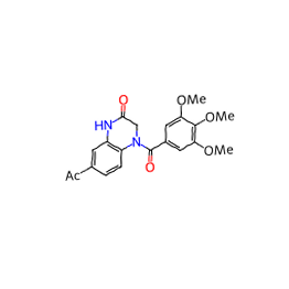 COc1cc(C(=O)N2CC(=O)Nc3cc(C(C)=O)ccc32)cc(OC)c1OC